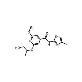 Cc1csc(NC(=O)c2cc(OC(C)C)nc(O[C@@H](C)CO)c2)n1